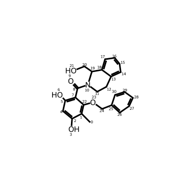 Cc1c(O)cc(O)c(C(=O)N2CCc3ccccc3C2CO)c1OCc1ccccc1